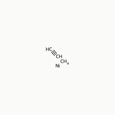 C.C#C.[Ni]